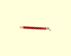 C=CCOCCOCCOCCOCCOCCOCCOCCOCCOCCOCCOCCOCCOCCOCCOCCO